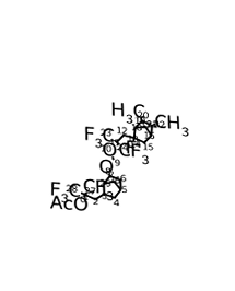 CC(=O)OC(CC1CC2CC(OCOC(CC3(F)CC4CC3C(C)C4C)(C(F)(F)F)C(F)(F)F)C1C2)(C(F)(F)F)C(F)(F)F